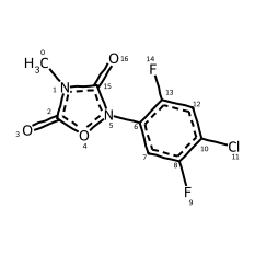 Cn1c(=O)on(-c2cc(F)c(Cl)cc2F)c1=O